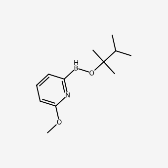 COc1cccc(BOC(C)(C)C(C)C)n1